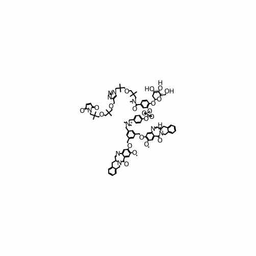 COc1cc2c(cc1OCc1cc(COc3cc4c(cc3OC)C(=O)N3Cc5ccccc5C[C@H]3C=N4)cc(C[N+](C)(C)Cc3ccc(OS(=O)(=O)Oc4cc(C(=O)N(C)CC(C)(C)COCC(C)(C)Cn5cc(COCC(C)(C)COCC(C)(C)CN6C(=O)C=CC6=O)nn5)ccc4OC4C[C@@H](O)[C@@H](O)[C@@H](CO)O4)cc3)c1)N=CC1Cc3ccccc3CN1C2=O